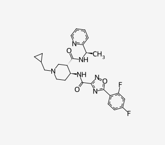 C[C@@H](NC(=O)[C@H]1CN(CC2CC2)CC[C@@H]1NC(=O)c1noc(-c2ccc(F)cc2F)n1)c1ccccn1